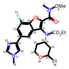 CCOC(=O)N(c1c(C(=O)N(C)OC)oc2c(F)cc(-c3cn(C)cn3)cc12)[C@H]1CCOC(CC)C1